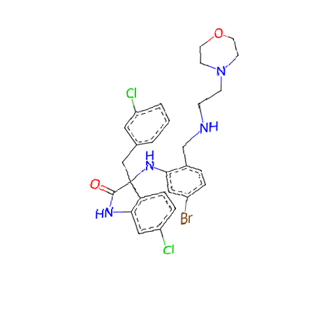 O=C1Nc2cc(Cl)ccc2C1(Cc1cccc(Cl)c1)Nc1cc(Br)ccc1CNCCN1CCOCC1